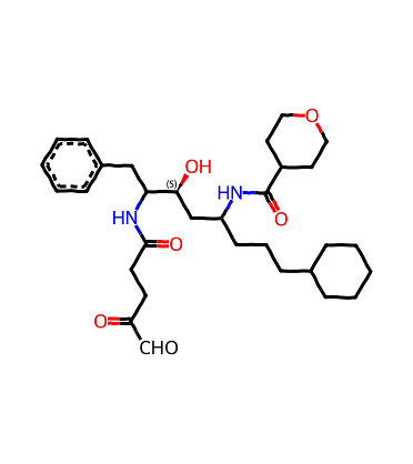 O=CC(=O)CCC(=O)NC(Cc1ccccc1)[C@@H](O)CC(CCCC1CCCCC1)NC(=O)C1CCOCC1